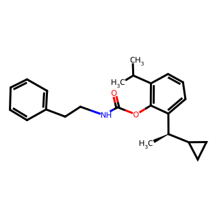 CC(C)c1cccc([C@H](C)C2CC2)c1OC(=O)NCCc1ccccc1